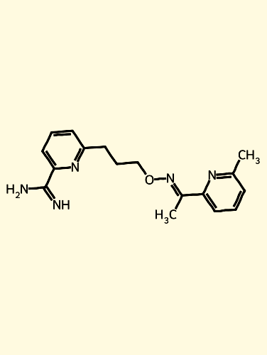 C/C(=N\OCCCc1cccc(C(=N)N)n1)c1cccc(C)n1